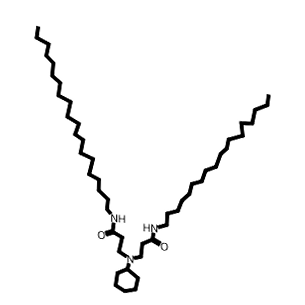 CCCCCCCCCCCCCCCCCCCCNC(=O)CCN(CCC(=O)NCCCCCCCCCCCCCCCCCC)C1CCCCC1